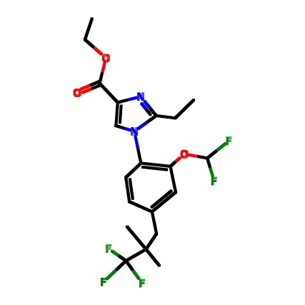 CCOC(=O)c1cn(-c2ccc(CC(C)(C)C(F)(F)F)cc2OC(F)F)c(CC)n1